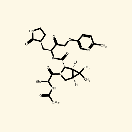 COC(=O)N[C@H](C(=O)N1C[C@H]2[C@@H]([C@H]1C(=O)N[C@@H](C[C@@H]1CCNC1=O)C(=O)COc1ccc(C)nc1)C2(C)C)C(C)(C)C